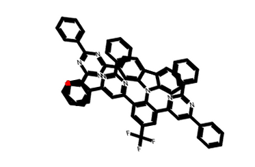 FC(F)(F)c1cc(-c2cc(-c3ccccc3)nc(-c3ccccc3)n2)c(-n2c3ccccc3c3ccc(-c4nc(-c5ccccc5)nc(-c5ccccc5)n4)cc32)c(-c2cc(-c3ccccc3)nc(-c3ccccc3)n2)c1